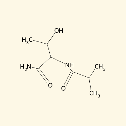 CC(C)C(=O)NC(C(N)=O)C(C)O